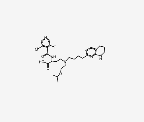 CC(C)OCCN(CCCCc1ccc2c(n1)NCCC2)CC[C@H](NC(=O)c1c(F)cncc1Cl)C(=O)O